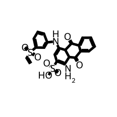 C=CS(=O)(=O)c1cccc(NC2=CC(S(=O)(=O)O)=C(N)C3C(=O)c4ccccc4C(=O)C23)c1